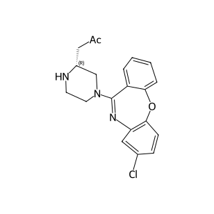 CC(=O)C[C@@H]1CN(C2=Nc3cc(Cl)ccc3Oc3ccccc32)CCN1